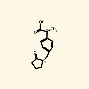 C[C@H](C(=O)O)c1ccc(C[C@H]2CCCC2=O)cc1